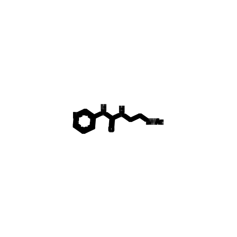 CC(=O)NCCNC(=O)Nc1cccnc1